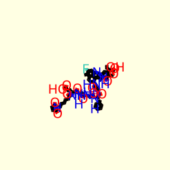 CC[C@@]1(O)C(=O)OCc2c1cc1n(c2=O)Cc2c-1nc1cc(F)c(C)c3c1c2[C@@H](NC(=O)CNC(=O)[C@H](Cc1ccccc1)NC(=O)CNC(=O)CNC(=O)[C@H](CCC(=O)O)NC(=O)CCCCCN1C(=O)C=CC1=O)CC3